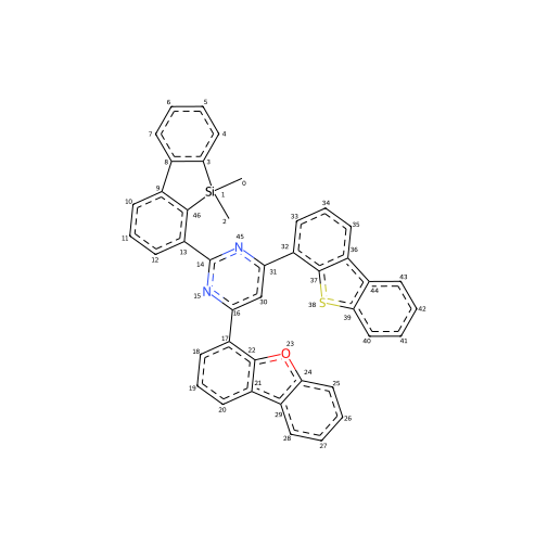 C[Si]1(C)c2ccccc2-c2cccc(-c3nc(-c4cccc5c4oc4ccccc45)cc(-c4cccc5c4sc4ccccc45)n3)c21